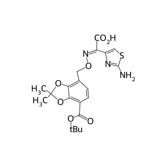 CC(C)(C)OC(=O)c1ccc(CON=C(C(=O)O)c2csc(N)n2)c2c1OC(C)(C)O2